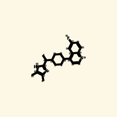 Cc1nc(C(C)C2CCC(c3ccnc4ccc(F)cc34)CC2)[nH]c1C